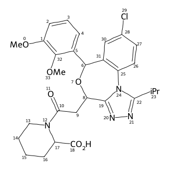 COc1cccc(C2OC(CC(=O)N3CCCCC3C(=O)O)c3nnc(C(C)C)n3-c3ccc(Cl)cc32)c1OC